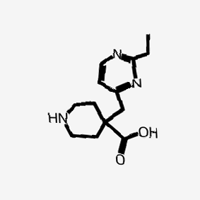 CCc1nccc(CC2(C(=O)O)CCNCC2)n1